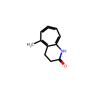 CC1=C2CCC(=O)NC2=CC=C=C1